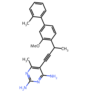 COc1cc(-c2ccccc2C)ccc1C(C)C#Cc1c(C)nc(N)nc1N